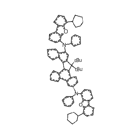 CC(C)(C)C1(C(C)(C)C)c2cc(N(c3ccccc3)c3cccc4c3oc3c(C5CCCCC5)cccc34)c3ccccc3c2-c2c1c1ccc(N(c3ccccc3)c3cccc4c3oc3c(C5CCCCC5)cccc34)cc1c1ccccc21